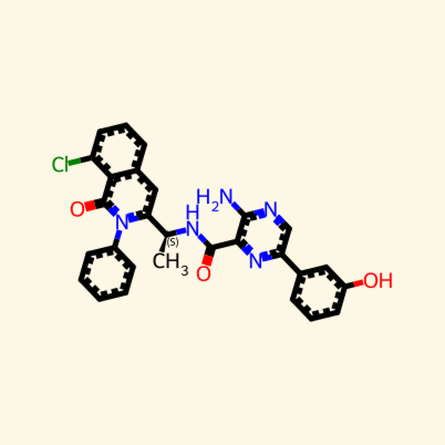 C[C@H](NC(=O)c1nc(-c2cccc(O)c2)cnc1N)c1cc2cccc(Cl)c2c(=O)n1-c1ccccc1